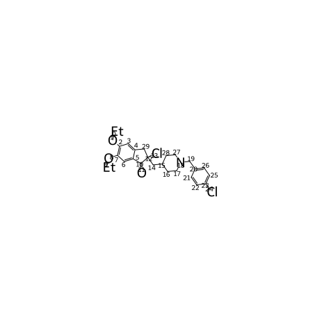 CCOc1cc2c(cc1OCC)C(=O)C(Cl)(CC1CCN(Cc3ccc(Cl)cc3)CC1)C2